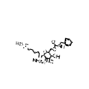 CC(=O)NC1C(OCCCCC(=O)O)OC(COC(=O)NCc2ccccc2)C(O)C1O